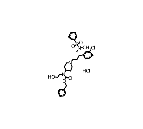 CN(C[C@@H](CCN1CCC(N(CCO)C(=O)OCc2ccccc2)CC1)c1cccc(Cl)c1)S(=O)(=O)c1ccccc1.Cl